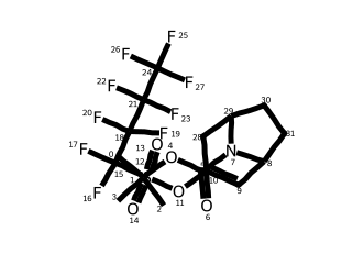 CC(C)(C)OC(=O)N1C2C=C(OS(=O)(=O)C(F)(F)C(F)(F)C(F)(F)C(F)(F)F)CC1CC2